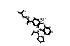 CCC(N1CCCC1)N1c2ccccc2Sc2ccc(C(=O)NCC(C)C)cc21.Cl